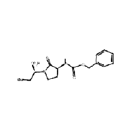 CC(C)(C)C[C@@H](C(=O)O)N1CC[C@H](NC(=O)OCc2ccccc2)C1=O